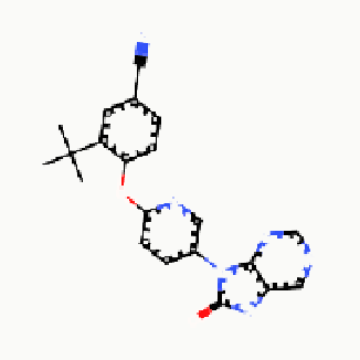 CC(C)(C)c1cc(C#N)ccc1Oc1ccc(-n2c(=O)[nH]c3cncnc32)cn1